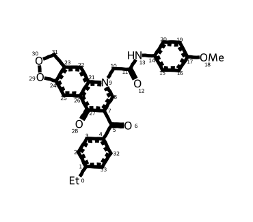 CCc1ccc(C(=O)c2cn(CC(=O)Nc3ccc(OC)cc3)c3cc4c(cc3c2=O)OOC4)cc1